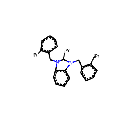 CC(C)c1ccccc1CN1c2ccccc2N(Cc2ccccc2C(C)C)C1C(C)C